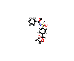 CC1(c2ccc(S(C)(=O)=NC(=O)c3ccccc3)cc2)OCCO1